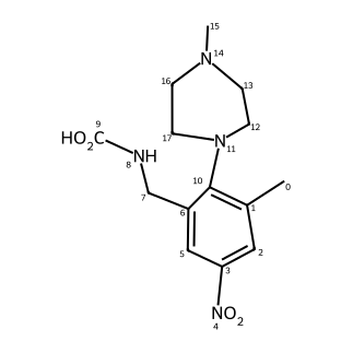 Cc1cc([N+](=O)[O-])cc(CNC(=O)O)c1N1CCN(C)CC1